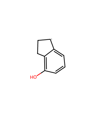 Oc1cccc2c1CC[C]2